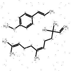 C/C=C/c1ccc(OC)cc1.C=CC(C)(O)CCC=C(C)CCC=C(C)C